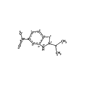 CC(C)N1Cc2ccc([N+](=O)[O-])cc2N1